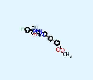 CCOC(=O)C[C@H]1CC[C@H](c2ccc(-c3ccc4nc(C(=O)NC(C)(C)c5ccc(F)cc5)cn4c3)cc2)CC1